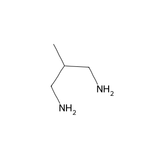 CC(CN)CN